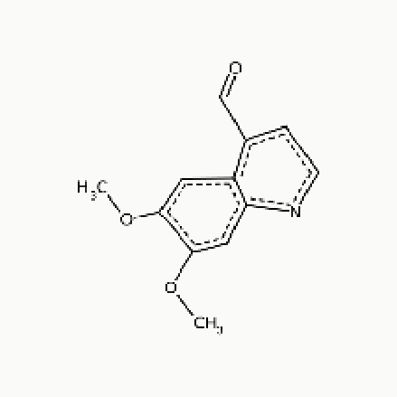 COc1cc2nccc(C=O)c2cc1OC